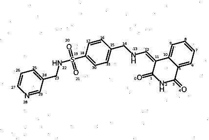 O=C1NC(=O)c2ccccc2C1=CNCc1ccc(S(=O)(=O)NCc2cccnc2)cc1